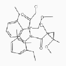 CCc1cccc(C)c1N(C(=O)C1(Cl)CC1(C)OC)[N+](COC)(C(=O)CCl)c1c(CC)cccc1CC